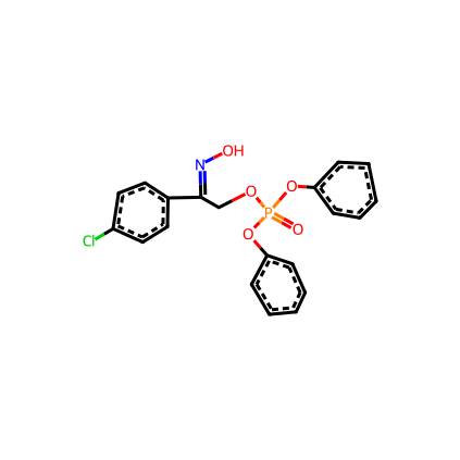 O=P(OCC(=NO)c1ccc(Cl)cc1)(Oc1ccccc1)Oc1ccccc1